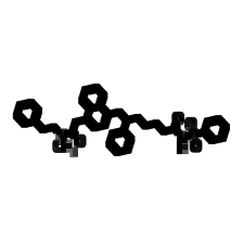 CN(CCc1ccccc1)C(=O)Cc1ccc(CC(CCCCC(=O)NS(=O)(=O)c2ccccc2)c2ccccc2)c2ccccc12